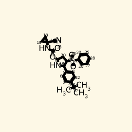 CC(C)(C)c1ccc(C2NC(OC(=O)NC3(C#N)CC3)CC2S(=O)(=O)c2ccccc2)cc1